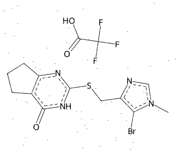 Cn1cnc(CSc2nc3c(c(=O)[nH]2)CCC3)c1Br.O=C(O)C(F)(F)F